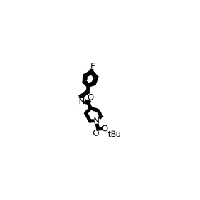 CC(C)(C)OC(=O)N1CCC(c2ncc(-c3ccc(F)cc3)o2)CC1